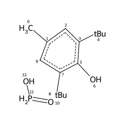 Cc1cc(C(C)(C)C)c(O)c(C(C)(C)C)c1.O=[PH2]O